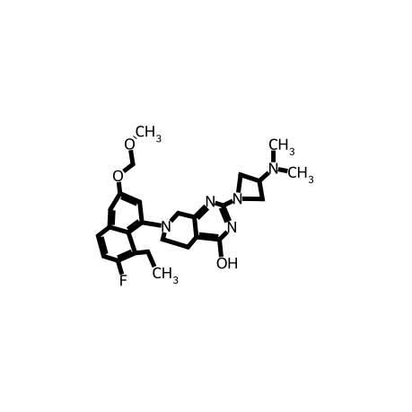 CCc1c(F)ccc2cc(OCOC)cc(N3CCc4c(O)nc(N5CC(N(C)C)C5)nc4C3)c12